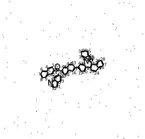 O=P(c1ccc2ccccc2c1)(c1ccc2cc(-c3ccc4c5ccc6ccccc6c5c5nc6ccccc6n5c4c3)ccc2c1)c1ccc2cccnc2c1